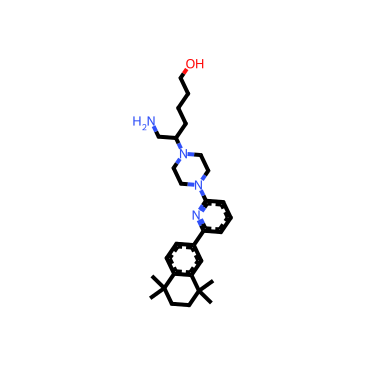 CC1(C)CCC(C)(C)c2cc(-c3cccc(N4CCN(C(CN)CCCCO)CC4)n3)ccc21